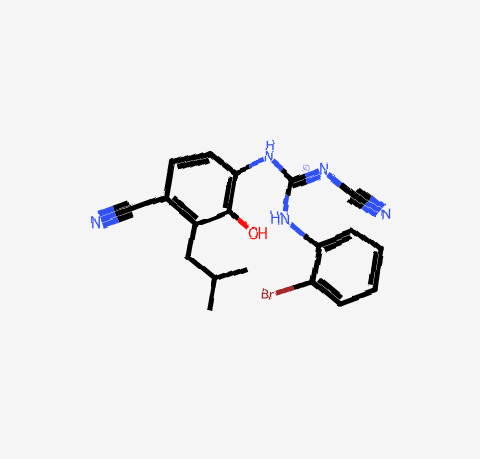 CC(C)Cc1c(C#N)ccc(N/C(=N/C#N)Nc2ccccc2Br)c1O